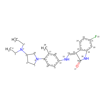 CCN(CC)C1CCN(c2ccc(NC=C3C(=O)Nc4cc(F)ccc43)cc2C)C1